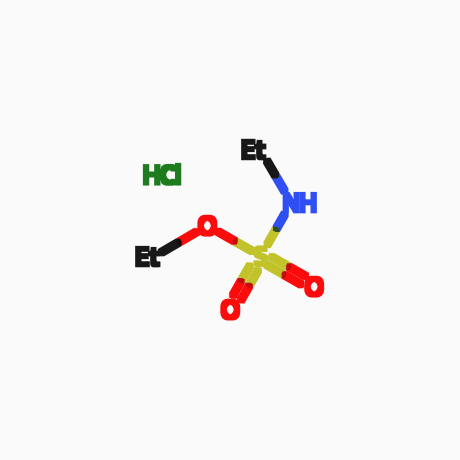 CCNS(=O)(=O)OCC.Cl